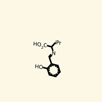 CC(C)C(N=Cc1ccccc1O)C(=O)O